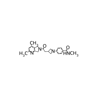 CNC(=O)c1ccc(N2CC(CC(=O)N3Cc4nc(C)cc(C)c4C3)C2)cc1